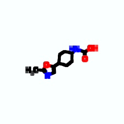 Cc1ncc(C2CCC(NC(=O)O)CC2)o1